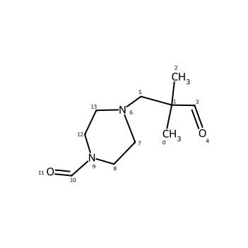 CC(C)(C=O)CN1CCN(C=O)CC1